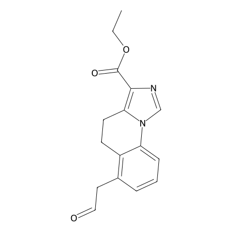 CCOC(=O)c1ncn2c1CCc1c(CC=O)cccc1-2